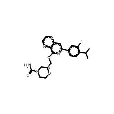 CC(C)c1ccc(-c2cc3nccnc3c(OC[C@@H]3CN(C(N)=O)CCO3)n2)cc1F